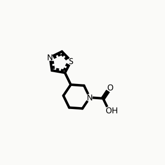 O=C(O)N1CCCC(c2cncs2)C1